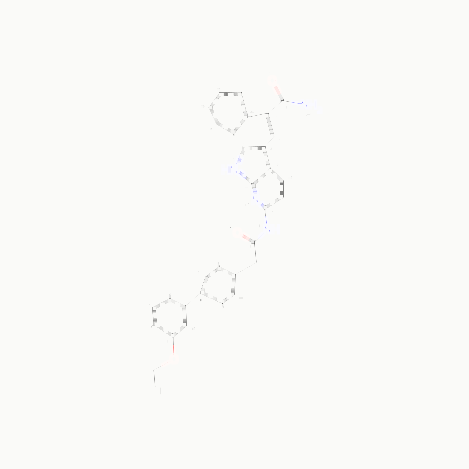 CCOc1cccc(-c2ccc(CC(=O)Nc3ccc4c(/C=C(/C(N)=O)c5ccccc5)c[nH]c4n3)cc2)c1